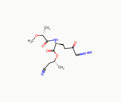 CO[C@H](C)C(=O)N[C@@H](CCC(=O)C=[N+]=[N-])C(=O)O[C@H](C)CC#N